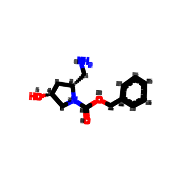 NC[C@H]1C[C@@H](O)CN1C(=O)OCc1ccccc1